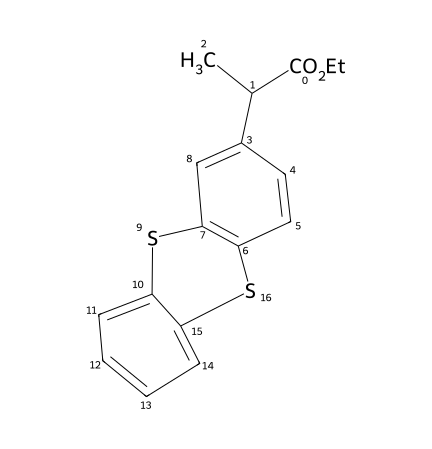 CCOC(=O)C(C)c1ccc2c(c1)Sc1ccccc1S2